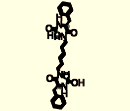 O=C(O)N[C@@H](Cc1ccccc1)C(=O)NCCC=CCCNC(=O)[C@H](Cc1ccccc1)NC(=O)O